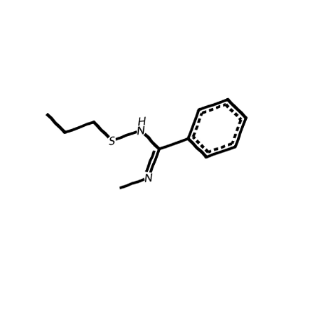 CCCSN/C(=N\C)c1ccccc1